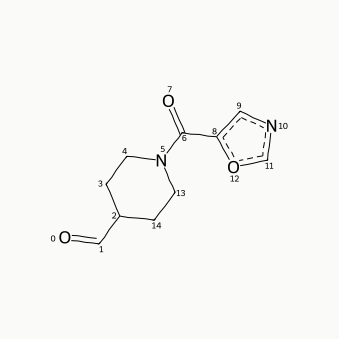 O=CC1CCN(C(=O)c2cnco2)CC1